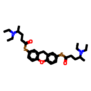 CCN(CC)C(C)CCC(=O)Sc1ccc2c(c1)Cc1cc(SC(=O)CCC(C)N(CC)CC)ccc1O2